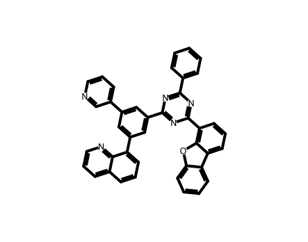 c1ccc(-c2nc(-c3cc(-c4cccnc4)cc(-c4cccc5cccnc45)c3)nc(-c3cccc4c3oc3ccccc34)n2)cc1